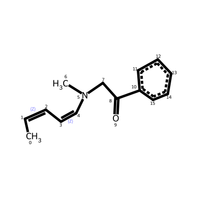 C/C=C\C=C/N(C)CC(=O)c1ccccc1